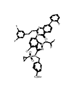 COc1ccc(CN(c2nn(CC(F)F)c3c(-n4c(CCc5cc(F)cc(F)c5)nc5cc(-c6ccccc6F)ccc5c4=O)ccc(Cl)c23)S(=O)(=O)C2CC2)cc1